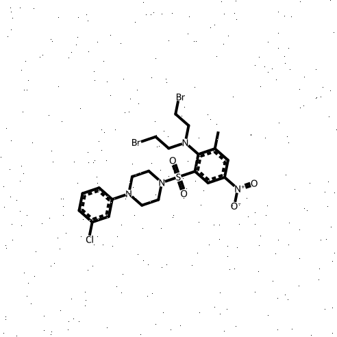 Cc1cc([N+](=O)[O-])cc(S(=O)(=O)N2CCN(c3cccc(Cl)c3)CC2)c1N(CCBr)CCBr